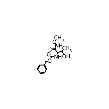 CONC(=O)C(NC(=O)OCc1ccccc1)C(C)O